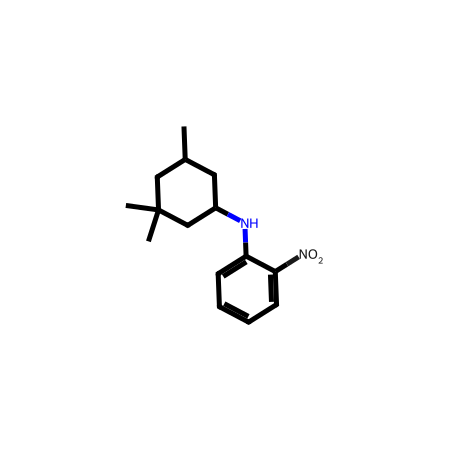 CC1CC(Nc2ccccc2[N+](=O)[O-])CC(C)(C)C1